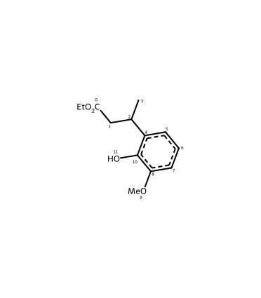 CCOC(=O)CC(C)c1cccc(OC)c1O